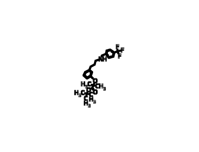 CC(C)(C)OC(=O)C(C)(C)Oc1cccc(CCCNCc2ccc(C(F)(F)F)cc2)c1